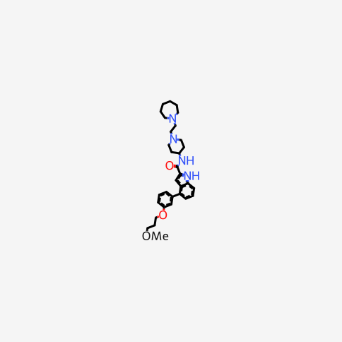 COCCCOc1cccc(-c2cccc3[nH]c(C(=O)NC4CCN(CCN5CCCCCC5)CC4)cc23)c1